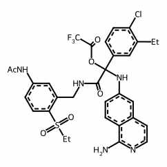 CCc1cc(C(Nc2ccc3c(N)nccc3c2)(OC(=O)C(F)(F)F)C(=O)NCc2cc(NC(C)=O)ccc2S(=O)(=O)CC)ccc1Cl